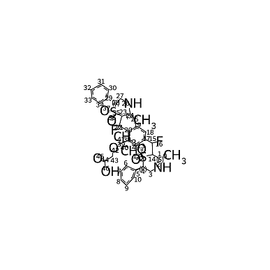 C[C@@H]1NC[C@@H](c2ccccc2)S(=O)(=O)C1C(F)c1ccc(C(F)C2[C@H](C)NC[C@@H](c3ccccc3)S2(=O)=O)c(C(C)(C)OCC(=O)O)c1